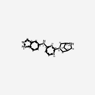 c1cc(Nc2ccc3[nH]ncc3c2)nc(N2CC3CNC(C3)C2)n1